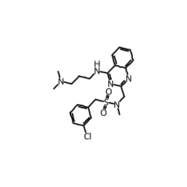 CN(C)CCCNc1nc(CN(C)S(=O)(=O)Cc2cccc(Cl)c2)nc2ccccc12